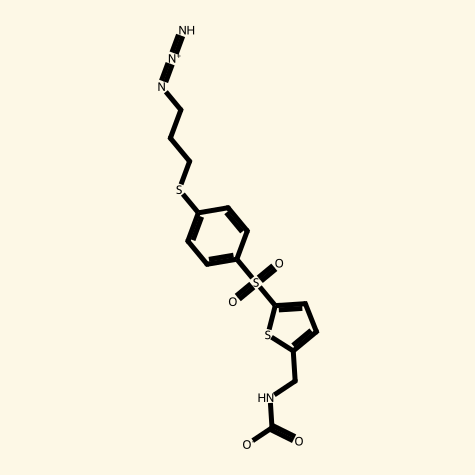 N=[N+]=NCCCSc1ccc(S(=O)(=O)c2ccc(CNC(=O)[O-])s2)cc1